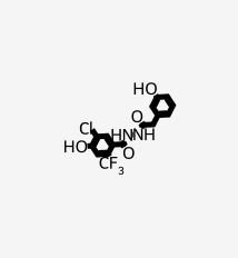 O=C(Cc1cccc(O)c1)NNC(=O)c1cc(Cl)c(O)cc1C(F)(F)F